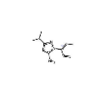 C=N/C(=C\C)n1nc(C(C)C)cc1N